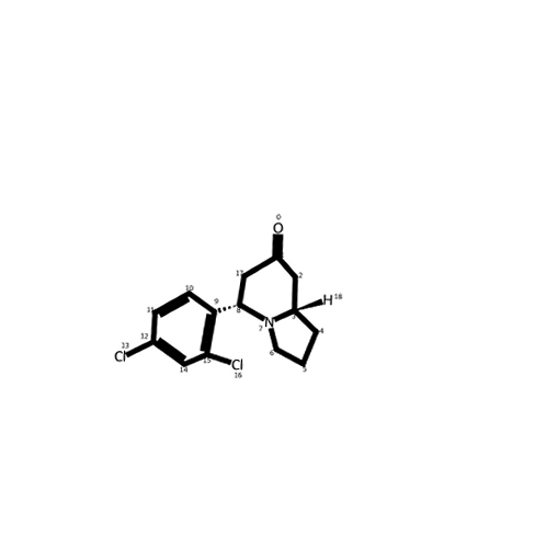 O=C1C[C@@H]2CCCN2[C@H](c2ccc(Cl)cc2Cl)C1